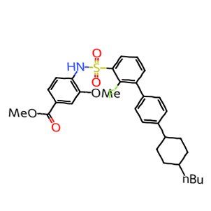 CCCCC1CCC(c2ccc(-c3cccc(S(=O)(=O)Nc4ccc(C(=O)OC)cc4OC)c3F)cc2)CC1